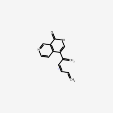 C=C/C=C\C(=C)c1c[nH]c(=O)c2cnccc12